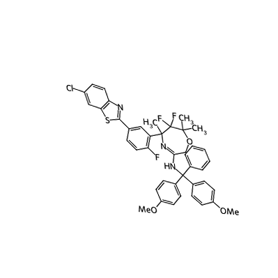 COc1ccc(C(NC2=NC(C)(c3cc(-c4nc5ccc(Cl)cc5s4)ccc3F)C(F)(F)C(C)(C)OC2)(c2ccccc2)c2ccc(OC)cc2)cc1